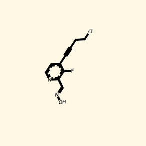 ON=Cc1nccc(C#CCCCl)c1F